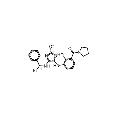 CC[C@H](Nc1n[s+]([O-])nc1Nc1cccc(C(=O)N2CCCC2)c1O)c1ccccc1